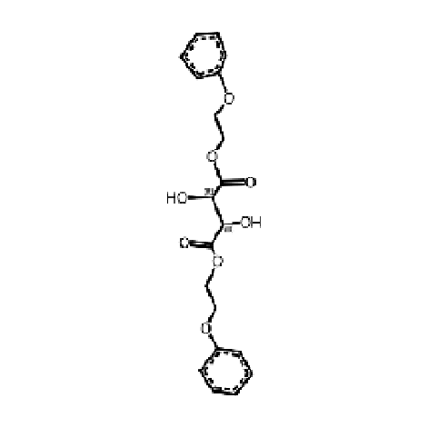 O=C(OCCOc1ccccc1)[C@H](O)[C@@H](O)C(=O)OCCOc1ccccc1